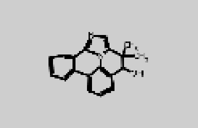 CC1(C)c2cnc3c4ccccc4c4cccc(c4n23)C1O